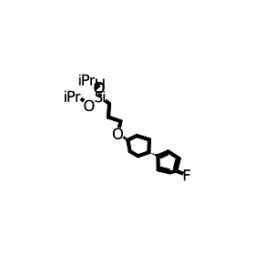 CC(C)O[SiH](CCCO[C@H]1CC[C@H](c2ccc(F)cc2)CC1)OC(C)C